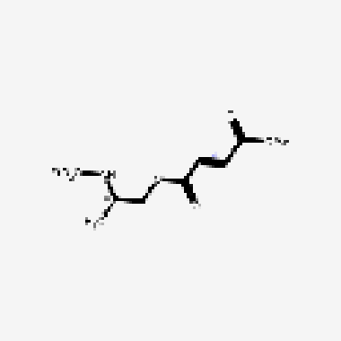 CCOC(=O)N[C@H](C)COC(=O)/C=C/C(=O)OC